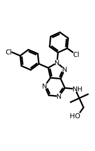 CC(C)(CO)Nc1ncnc2c(-c3ccc(Cl)cc3)n(-c3ccccc3Cl)nc12